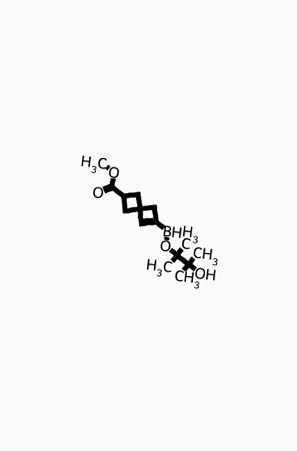 COC(=O)C1CC2(C=C(BOC(C)(C)C(C)(C)O)C2)C1